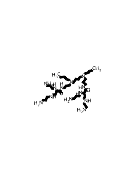 CCC=CCN(CCCCN(CC=CCC)CCCNC(=O)C(CCNCCCN)NCCCN)CCCNC(=O)C(CCNCCN)NCCCN